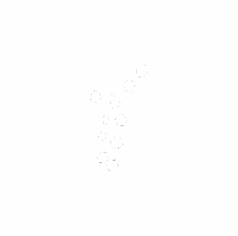 c1ccc(C2=NC(c3ccc4c(c3)C3(c5cc(-c6cccc7cccnc67)ccc5O4)c4ccccc4-c4ccccc43)=NC(c3ccc(-c4ccccc4)cc3)N2)cc1